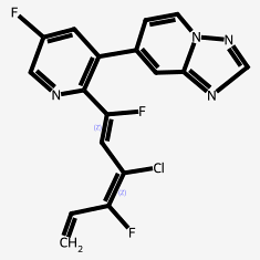 C=C/C(F)=C(Cl)\C=C(/F)c1ncc(F)cc1-c1ccn2ncnc2c1